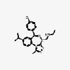 CCNC[C@@H]1N=C(c2ccc(Cl)cc2)c2cc(C(C)C)ccc2-n2c(C)nnc21